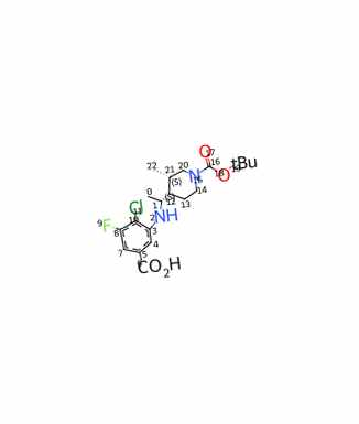 CC(Nc1cc(C(=O)O)cc(F)c1Cl)[C@H]1CCN(C(=O)OC(C)(C)C)C[C@H]1C